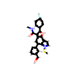 CNC(=O)c1c(-c2ccc(F)cc2)oc2c1cc(-c1cccc(C=O)c1)c1c2ccn1SC